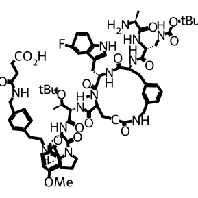 COc1ccc(C[C@H](NC(=O)[C@@H](NC(=O)C2CCC(=O)NCc3cccc(c3)C[C@H](NC(=O)[C@@H](CNC(=O)OC(C)(C)C)NC(=O)[C@H](C)N)C(=O)N[C@@H](Cc3c[nH]c4ccc(F)cc34)C(=O)N2C)[C@@H](C)OC(C)(C)C)C(=O)N2CCC[C@@]2(C)C(=O)NCCc2ccc(CNC(=O)CCC(=O)O)cc2)cc1